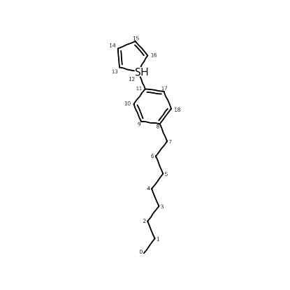 CCCCCCCCc1ccc([SH]2C=CC=C2)cc1